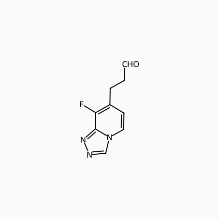 O=CCCc1ccn2cnnc2c1F